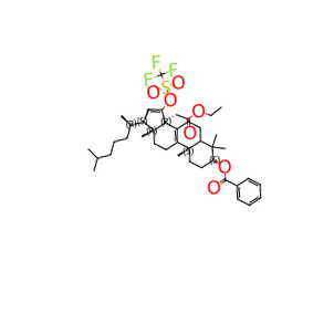 CCOC(=O)C[C@@]12C(OS(=O)(=O)C(F)(F)F)=C[C@H]([C@H](C)CCCC(C)C)[C@@]1(C)CCC1=C2CCC2C(C)(C)[C@@H](OC(=O)c3ccccc3)CC[C@]12C